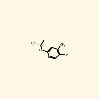 C[C@H](Nc1cc(C(F)(F)F)c(Br)cn1)C(F)(F)F